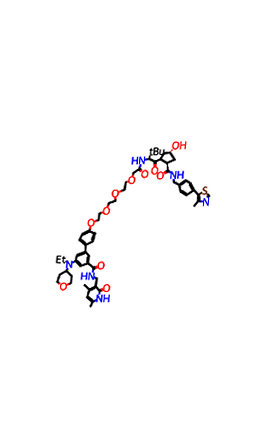 CCN(c1cc(C(=O)NCc2c(C)cc(C)[nH]c2=O)cc(-c2ccc(OCCOCCOCCOCC(=O)N[C@H](C(=O)C3C[C@H](O)C[C@H]3C(=O)NCc3ccc(-c4scnc4C)cc3)C(C)(C)C)cc2)c1)C1CCOCC1